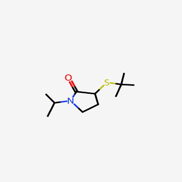 CC(C)N1CCC(SC(C)(C)C)C1=O